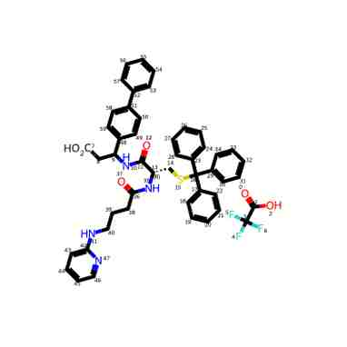 O=C(O)C(F)(F)F.O=C(O)CC(NC(=O)[C@H](CSC(c1ccccc1)(c1ccccc1)c1ccccc1)NC(=O)CCCNc1ccccn1)c1ccc(-c2ccccc2)cc1